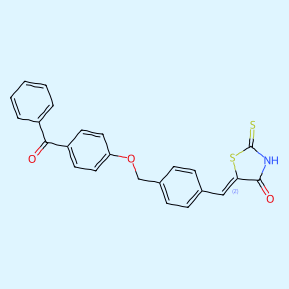 O=C1NC(=S)S/C1=C\c1ccc(COc2ccc(C(=O)c3ccccc3)cc2)cc1